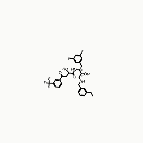 CCc1cccc(CNC[C@H](O)[C@H](Cc2cc(F)cc(F)c2)NC(=O)C(O)CC(=O)c2cccc(C(F)(F)F)c2)c1